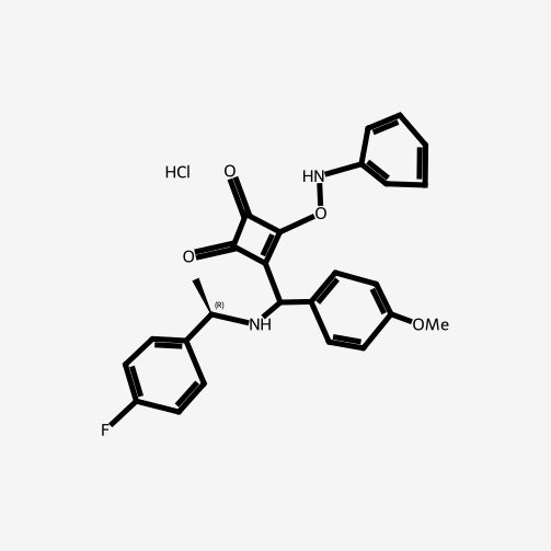 COc1ccc(C(N[C@H](C)c2ccc(F)cc2)c2c(ONc3ccccc3)c(=O)c2=O)cc1.Cl